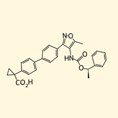 Cc1onc(-c2ccc(-c3ccc(C4(C(=O)O)CC4)cc3)cc2)c1NC(=O)O[C@H](C)c1ccccc1